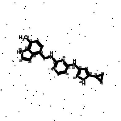 Cc1ccc(CNc2nccc(Nc3cc(C4CC4)[nH]n3)n2)c2cc[nH]c12